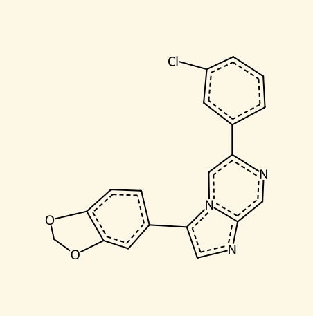 Clc1cccc(-c2cn3c(-c4ccc5c(c4)OCO5)cnc3cn2)c1